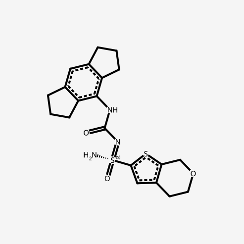 N[S@](=O)(=NC(=O)Nc1c2c(cc3c1CCC3)CCC2)c1cc2c(s1)COCC2